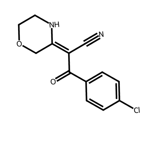 N#C/C(C(=O)c1ccc(Cl)cc1)=C1/COCCN1